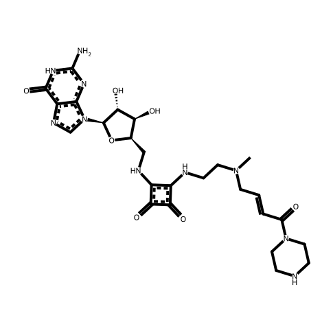 CN(C/C=C/C(=O)N1CCNCC1)CCNc1c(NC[C@H]2O[C@@H](n3cnc4c(=O)[nH]c(N)nc43)[C@H](O)[C@H]2O)c(=O)c1=O